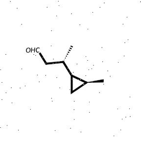 C[C@@H](CC=O)C1C[C@@H]1C